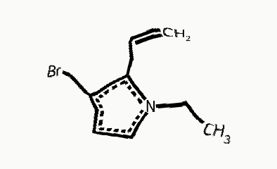 C=Cc1c(Br)ccn1CC